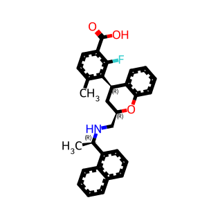 Cc1ccc(C(=O)O)c(F)c1[C@@H]1C[C@H](CN[C@H](C)c2cccc3ccccc23)Oc2ccccc21